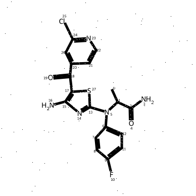 CC(C(N)=O)N(c1ccc(F)cc1)c1nc(N)c(C(=O)c2ccnc(Cl)c2)s1